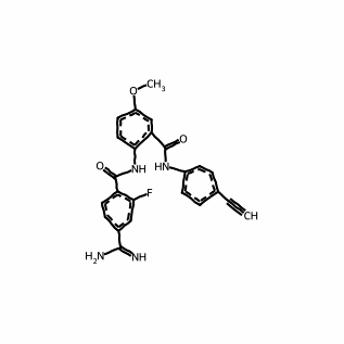 C#Cc1ccc(NC(=O)c2cc(OC)ccc2NC(=O)c2ccc(C(=N)N)cc2F)cc1